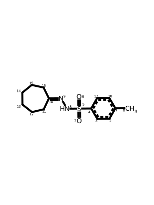 Cc1ccc(S(=O)(=O)NN=C2CCCCCC2)cc1